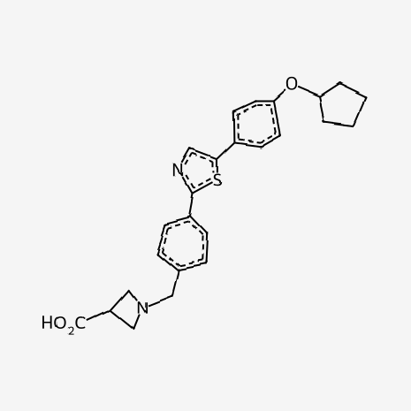 O=C(O)C1CN(Cc2ccc(-c3ncc(-c4ccc(OC5CCCC5)cc4)s3)cc2)C1